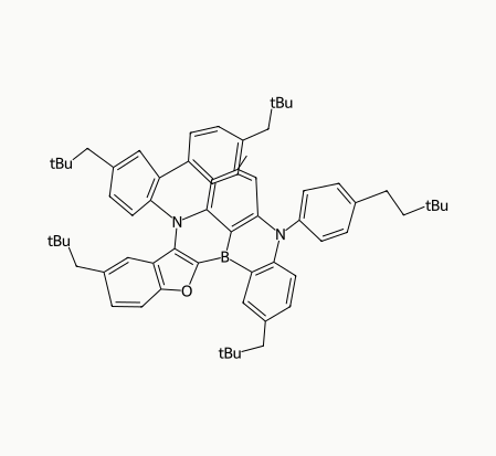 Cc1cc2c3c(c1)N(c1ccc(CC(C)(C)C)cc1-c1ccc(CC(C)(C)C)cc1)c1c(oc4ccc(CC(C)(C)C)cc14)B3c1cc(CC(C)(C)C)ccc1N2c1ccc(CCC(C)(C)C)cc1